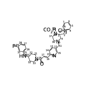 C[C@]1(Cc2ccccc2)CN(Cc2ccc(C=CC(=O)N3CCC(Nc4cccc(F)c4)CC3)nc2)CCN1C(=O)O